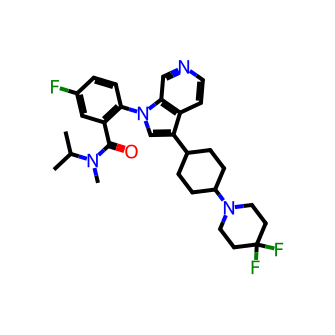 CC(C)N(C)C(=O)c1cc(F)ccc1-n1cc(C2CCC(N3CCC(F)(F)CC3)CC2)c2ccncc21